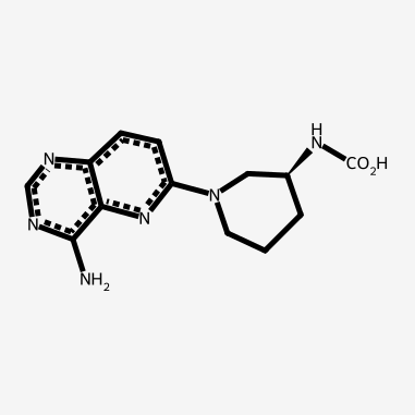 Nc1ncnc2ccc(N3CCC[C@H](NC(=O)O)C3)nc12